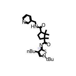 CCCCc1cn(C(C)(C)C)s/c1=N\C(=O)C1(C)CCC(C(=O)NCc2cccnc2)C1(C)C